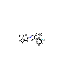 O=CC1CN(C(CC2CCC2)C(=O)O)CC1c1cccc(F)c1